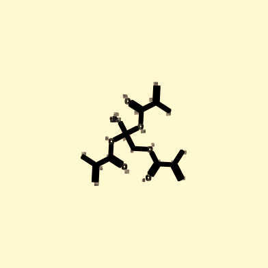 C=C(C)C(=O)OCC(OC(=O)C(=C)C)(OC(=O)C(=C)C)C(C)(C)C